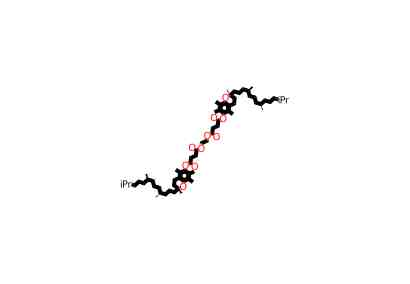 Cc1c(C)c2c(c(C)c1OC(=O)CCC(=O)OCCOC(=O)CCC(=O)Oc1c(C)c(C)c3c(c1C)CC[C@@](C)(CCC[C@H](C)CCC[C@H](C)CCCC(C)C)O3)CC[C@](C)(CCC[C@@H](C)CCC[C@@H](C)CCCC(C)C)O2